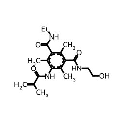 C=C(C)C(=O)Nc1c(C)c(C(=O)NCC)c(C)c(C(=O)NCCO)c1C